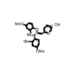 COc1ccc([O][Ti](=[CH]c2ccccn2)[O]c2ccc(OC)cc2C(C)(C)C)c(C(C)(C)C)c1.Cl.Cl